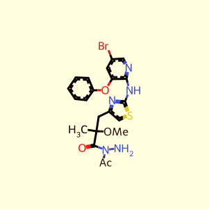 COC(C)(Cc1csc(Nc2ncc(Br)cc2Oc2ccccc2)n1)C(=O)N(N)C(C)=O